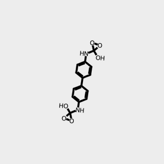 OC1(Nc2ccc(-c3ccc(NC4(O)OO4)cc3)cc2)OO1